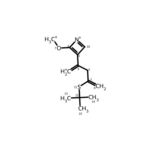 C=C(CC(=C)C1=C(OC)N=C1)SC(C)(C)C